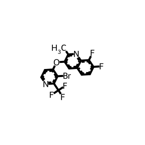 Cc1nc2c(F)c(F)ccc2cc1Oc1ccnc(C(F)(F)F)c1Br